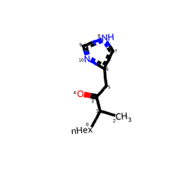 CCCCCCC(C)C(=O)Cc1c[nH]cn1